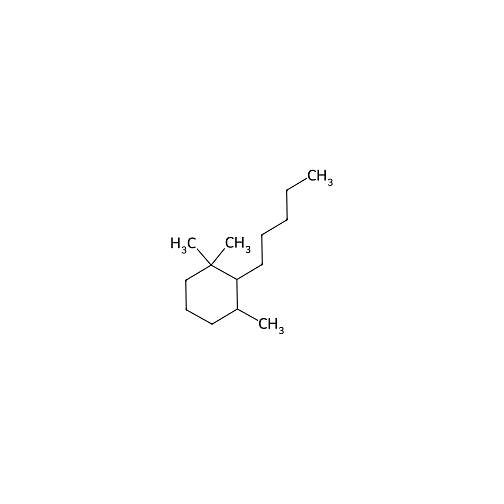 CCCCCC1C(C)CCCC1(C)C